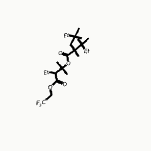 CCC(C(=O)OCC(F)(F)F)C(C)(C)OC(=O)C(C)(CC(C)(C)CC)C(C)(C)CC